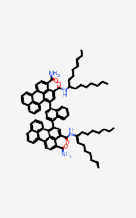 CCCCCCCC(CCCCCCC)NC(=O)c1cc(-c2ccc(-c3cc(C(=O)NC(CCCCCCC)CCCCCCC)c4c(C(N)=O)ccc5c6cccc7cccc(c3c45)c76)c3ccccc23)c2c3cccc4cccc(c5ccc(C(N)=O)c1c52)c43